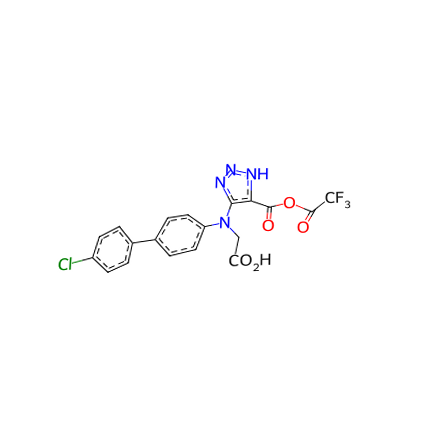 O=C(O)CN(c1ccc(-c2ccc(Cl)cc2)cc1)c1nn[nH]c1C(=O)OC(=O)C(F)(F)F